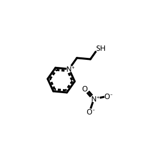 O=[N+]([O-])[O-].SCC[n+]1ccccc1